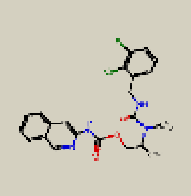 [CH2]C(COC(=O)Nc1cc2ccccc2cn1)N(C)C(=O)NCc1cccc(F)c1Cl